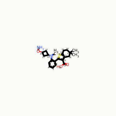 CN(c1ccccc1-c1sc2c(c1C(=O)O)CC(C)(C)CC2)[C@H]1C[C@@H](ON)C1